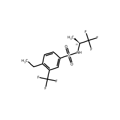 CCc1ccc(S(=O)(=O)N[C@@H](C)C(F)(F)F)cc1C(F)(F)F